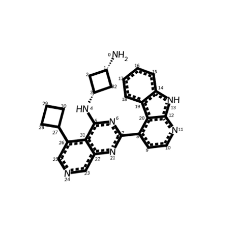 N[C@H]1C[C@@H](Nc2nc(-c3ccnc4[nH]c5ccccc5c34)nc3cncc(C4CCC4)c23)C1